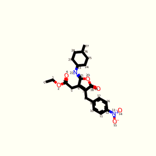 CCOC(=O)CC1=C(Cc2ccc([N+](=O)[O-])cc2)C(=O)O/C1=N\C1CCC(C)CC1